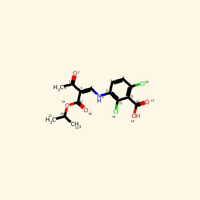 CC(=O)C(=CNc1ccc(Cl)c(C(=O)O)c1Cl)C(=O)OC(C)C